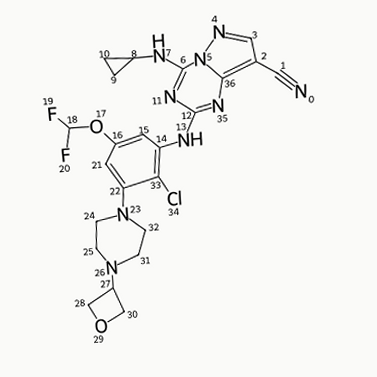 N#Cc1cnn2c(NC3CC3)nc(Nc3cc(OC(F)F)cc(N4CCN(C5COC5)CC4)c3Cl)nc12